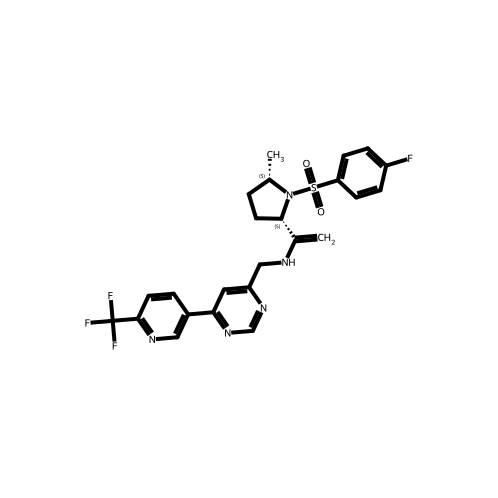 C=C(NCc1cc(-c2ccc(C(F)(F)F)nc2)ncn1)[C@@H]1CC[C@H](C)N1S(=O)(=O)c1ccc(F)cc1